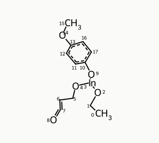 CC[O][In]([O]CC=C=O)[O]c1ccc(OC)cc1